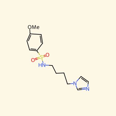 COc1ccc(S(=O)(=O)NCCCCn2ccnc2)cc1